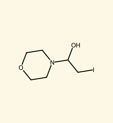 OC(CI)N1CCOCC1